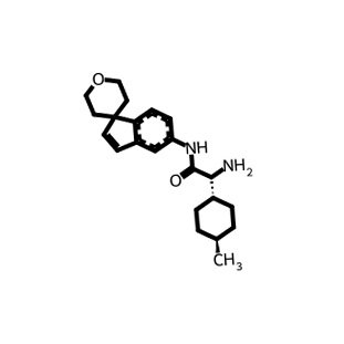 C[C@H]1CC[C@H](C(N)C(=O)Nc2ccc3c(c2)C=CC32CCOCC2)CC1